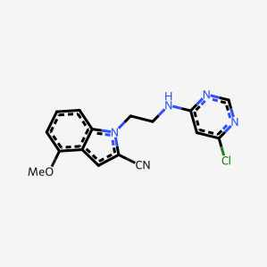 COc1cccc2c1cc(C#N)n2CCNc1cc(Cl)ncn1